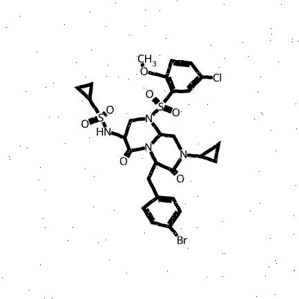 COc1ccc(Cl)cc1S(=O)(=O)N1CC(NS(=O)(=O)C2CC2)C(=O)N2C(Cc3ccc(Br)cc3)C(=O)N(C3CC3)CC21